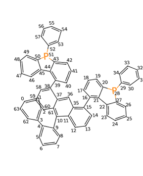 c1ccc(-c2ccccc2-c2c3cccc(-c4cccc5c4c4ccccc4p5-c4ccccc4)c3cc3c(-c4cccc5c4c4ccccc4p5-c4ccccc4)cccc23)cc1